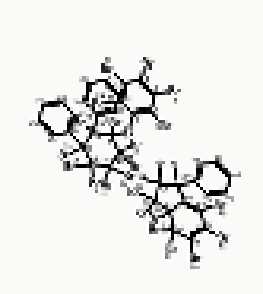 Brc1c(Br)c(Br)c(OC2(Br)C(Br)(Br)C(Br)(Br)C(Br)(Br)C(Br)(c3ccccc3)C2(Br)c2ccccc2)c(Br)c1Br.CC1(c2ccccc2)C2=C(Br)C(Br)=C(Br)C(Br)(Br)C2(Br)C(Br)(Br)C1(C)C